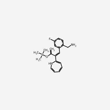 C=C(O[Si](C)(C)C)C(=Cc1cc(F)ccc1CN)C1=CC=CC=CN1